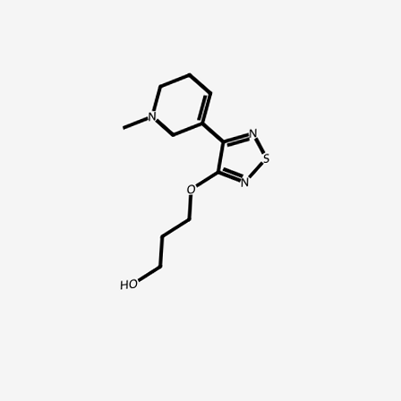 CN1CCC=C(c2nsnc2OCCCO)C1